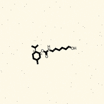 CC1CC[C@@H](C(C)C)[C@H](OC(=O)NCCCCCCO)C1